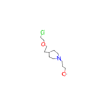 [O]CCCN1CCC(CCOCCCl)CC1